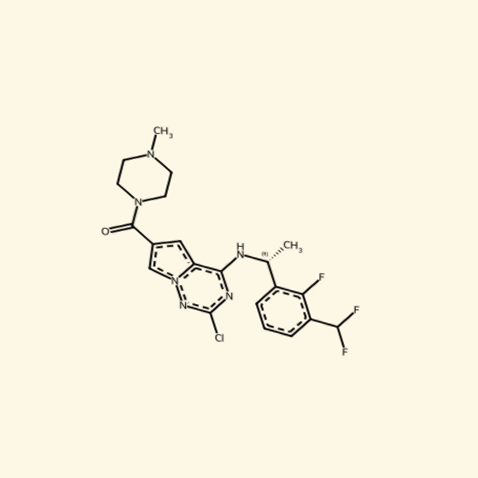 C[C@@H](Nc1nc(Cl)nn2cc(C(=O)N3CCN(C)CC3)cc12)c1cccc(C(F)F)c1F